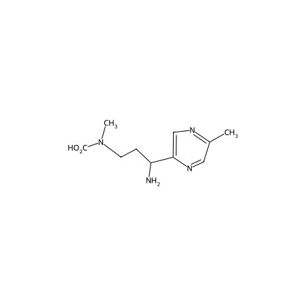 Cc1cnc(C(N)CCN(C)C(=O)O)cn1